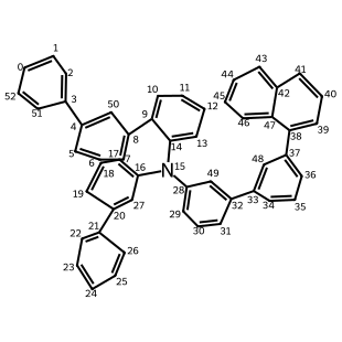 c1ccc(-c2cccc(-c3ccccc3N(c3cccc(-c4ccccc4)c3)c3cccc(-c4cccc(-c5cccc6ccccc56)c4)c3)c2)cc1